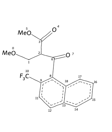 COCC(C(=O)OC)C(=O)c1c(C(F)(F)F)ccc2ccccc12